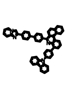 c1ccc2c(c1)ccc1c(-c3ccc(-c4ccc(-c5cn6ccccc6n5)cc4)cc3)nc3c(-c4ccc(-n5c6ccccc6c6ccccc65)cc4)cccc3c12